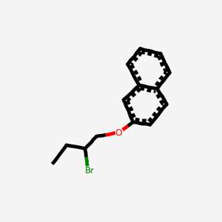 CCC(Br)COc1ccc2ccccc2c1